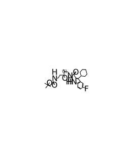 C[C@@H](CNC(=O)c1[nH]c2ccc(F)cc2c1C1CCCCC1)C(O)CCNC(=O)OC(C)(C)C